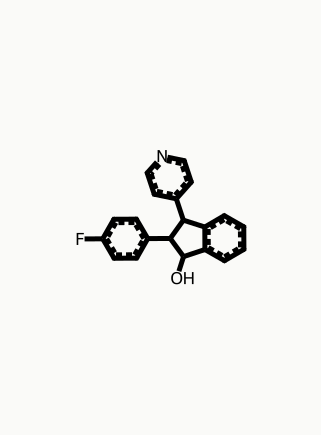 OC1c2ccccc2C(c2ccncc2)C1c1ccc(F)cc1